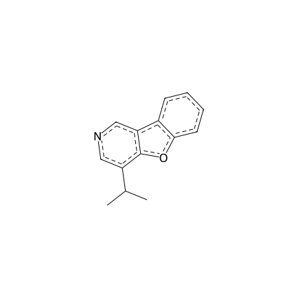 CC(C)c1cncc2c1oc1ccccc12